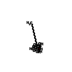 CCCCCCCCCCCCCCCC(C(=O)O)C(C(=O)O)(C(=O)O)C(C(=O)O)(C(=O)O)C(=O)O